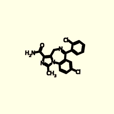 Cc1nc(C(N)=O)c2n1-c1ccc(Cl)cc1C(c1ccccc1Cl)=NC2